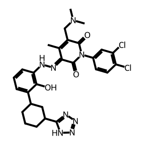 CC1=C(CN(C)C)C(=O)N(c2ccc(Cl)c(Cl)c2)C(=O)/C1=N/Nc1cccc(C2CCCC(c3nnn[nH]3)C2)c1O